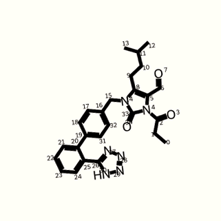 CCC(=O)n1c(C=O)c(CCC(C)C)n(Cc2ccc(-c3ccccc3-c3nnn[nH]3)cc2)c1=O